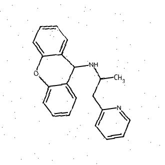 CC(Cc1ccccn1)NC1c2ccccc2Oc2ccccc21